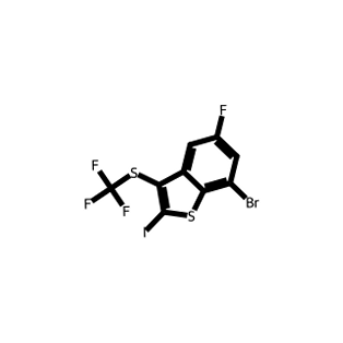 Fc1cc(Br)c2sc(I)c(SC(F)(F)F)c2c1